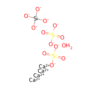 O.O=S(=O)([O-])[O-].O=S(=O)([O-])[O-].[Ca+2].[Ca+2].[Ca+2].[Ca+2].[O-][Si]([O-])([O-])[O-]